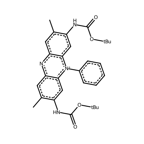 Cc1cc2nc3cc(C)c(NC(=O)OC(C)(C)C)cc3[n+](-c3ccccc3)c2cc1NC(=O)OC(C)(C)C